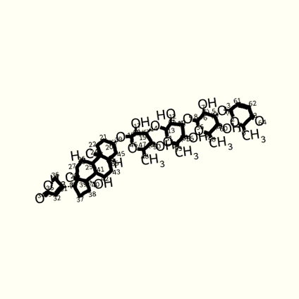 CC1O[C@@H](O[C@@H]2[C@H](O)C(O[C@@H]3[C@H](O)C(O[C@@H]4[C@H](O)C(O[C@H]5CCC6(C)C7CCC8(C)[C@@H](C9=CC(=O)OC9)CC[C@]8(O)C7CC[C@@H]6C5)OC(C)[C@@H]4O)OC(C)[C@@H]3O)OC(C)[C@@H]2O)C=CC1=O